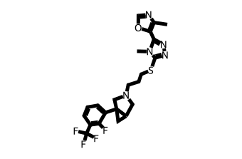 Cc1ncoc1-c1nnc(SCCCN2CC3CC3(c3cccc(C(F)(F)F)c3F)C2)n1C